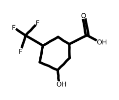 O=C(O)C1CC(O)CC(C(F)(F)F)C1